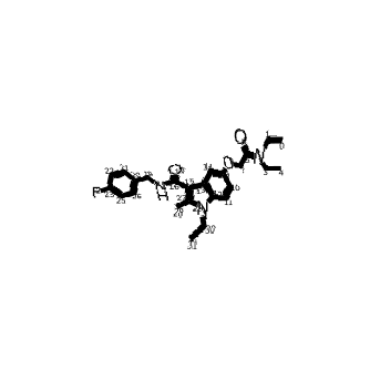 CCN(CC)C(=O)COc1ccc2c(c1)c(C(=O)NCc1ccc(F)cc1)c(C)n2CC